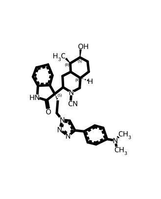 C[C@@H]1C2CC([C@@]3(CCn4cc(-c5ccc(N(C)C)cc5)nn4)C(=O)Nc4ccccc43)N(C#N)C[C@@H]2CC[C@@H]1O